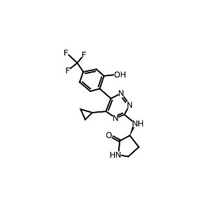 O=C1NCC[C@@H]1Nc1nnc(-c2ccc(C(F)(F)F)cc2O)c(C2CC2)n1